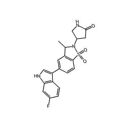 CC1c2cc(-c3c[nH]c4cc(F)ccc34)ccc2S(=O)(=O)N1C1CNC(=O)C1